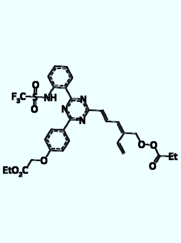 C=C/C(=C\C=C\c1nc(-c2ccc(OCC(=O)OCC)cc2)nc(-c2ccccc2NS(=O)(=O)C(F)(F)F)n1)COOC(=O)CC